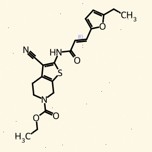 CCOC(=O)N1CCc2c(sc(NC(=O)/C=C/c3ccc(CC)o3)c2C#N)C1